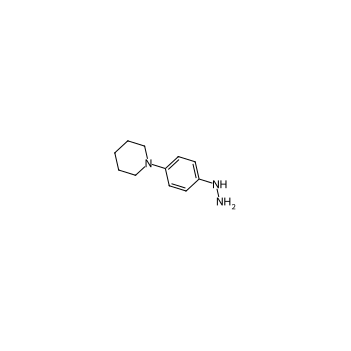 NNc1ccc(N2CCCCC2)cc1